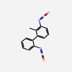 Cc1c(N=C=O)cccc1-c1ccccc1N=C=O